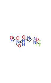 Cc1oncc1C(=O)N1CCOC[C@@H]1CNC(=O)c1ccc(-c2noc(C(F)(F)F)n2)cn1